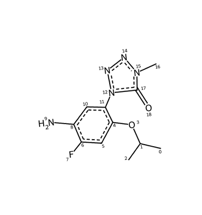 CC(C)Oc1cc(F)c(N)cc1-n1nnn(C)c1=O